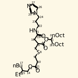 CCCCCCCCC(CCCCCCCC)OC(=O)C(CSCCC(=O)OCC(CC)CCCC)CC(=O)NCCCn1ccnc1